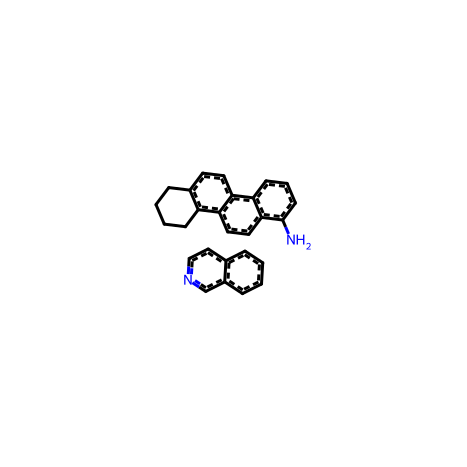 Nc1cccc2c1ccc1c3c(ccc12)CCCC3.c1ccc2cnccc2c1